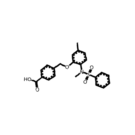 Cc1ccc(N(C)S(=O)(=O)c2ccccc2)c(OCc2ccc(C(=O)O)cc2)c1